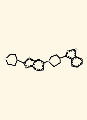 c1ccc2c(C3CCN(c4cnc5nc(N6CCOCC6)sc5c4)CC3)n[nH]c2c1